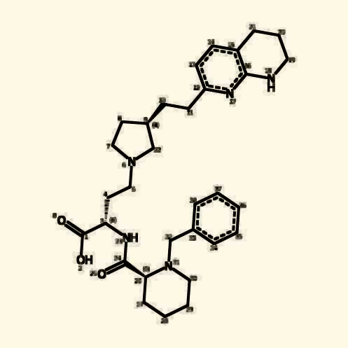 O=C(O)[C@H](CCN1CC[C@@H](CCc2ccc3c(n2)NCCC3)C1)NC(=O)[C@@H]1CCCCN1Cc1ccccc1